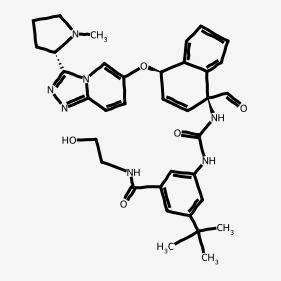 CN1CCC[C@H]1c1nnc2ccc(O[C@@H]3C=C[C@](C=O)(NC(=O)Nc4cc(C(=O)NCCO)cc(C(C)(C)C)c4)c4ccccc43)cn12